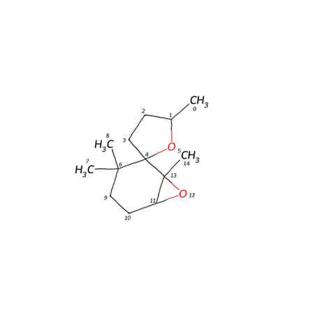 CC1CCC2(O1)C(C)(C)CCC1OC12C